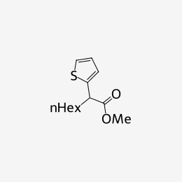 CCCCCCC(C(=O)OC)c1cccs1